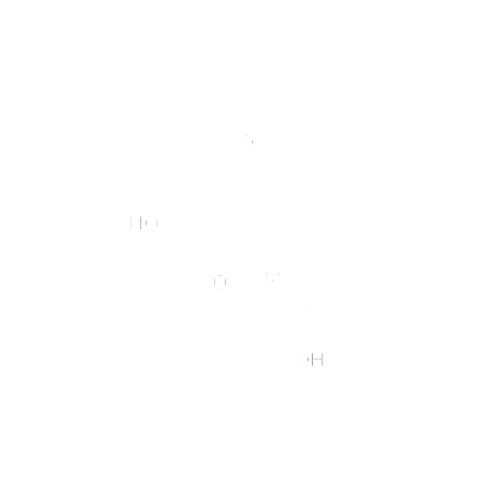 CCC(=O)O.O=C(O)[C@H]1CO1